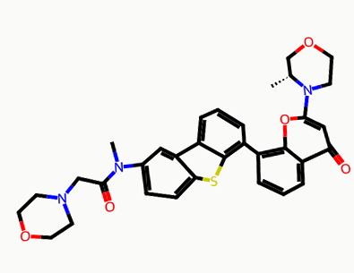 C[C@@H]1COCCN1c1cc(=O)c2cccc(-c3cccc4c3sc3ccc(N(C)C(=O)CN5CCOCC5)cc34)c2o1